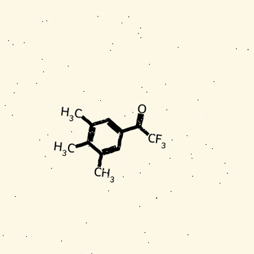 Cc1cc(C(=O)C(F)(F)F)cc(C)c1C